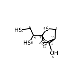 OC1SC2(C(S)CS)SCC1S2